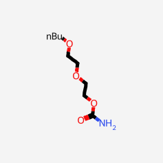 CCCCOCCOCCOC(N)=O